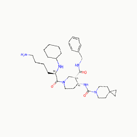 NCCCC[C@@H](NC1CCCCC1)C(=O)N1CC[C@@H](NC(=O)N2CCC3(CC2)CC3)[C@@H](C(=O)NCc2ccccc2)C1